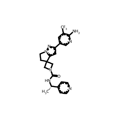 C[C@H](NC(=O)N1CC2(CCn3nc(-c4cnc(N)c(C(F)(F)F)c4)cc32)C1)c1ccncc1